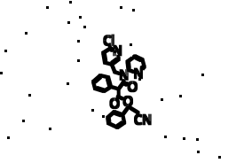 N#CCC(OC(=O)C(C(=O)N(Cc1ccc(Cl)nc1)c1ccccn1)c1ccccc1)c1ccccc1